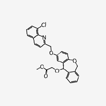 COC(=O)COC1c2ccccc2COc2ccc(OCc3ccc4cccc(Cl)c4n3)cc21